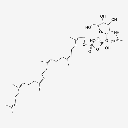 CC(=O)NC1C(OP(=O)(O)OP(=O)(O)OC/C=C(/C)CC/C=C(/C)CC/C=C(/C)CC/C=C(/F)CC/C=C(/C)CCC=C(C)C)OC(CO)C(O)C1O